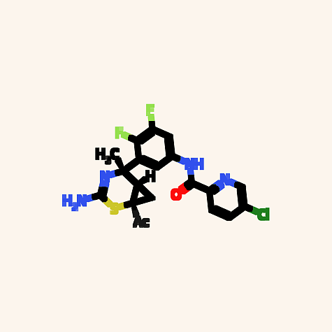 CC(=O)[C@]12C[C@H]1[C@@](C)(c1cc(NC(=O)c3ccc(Cl)cn3)cc(F)c1F)N=C(N)S2